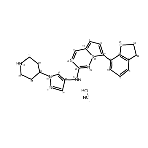 Cl.Cl.c1cc2c(c(-c3ccc4cnc(Nc5cnn(C6CCNCC6)c5)nn34)c1)OCC2